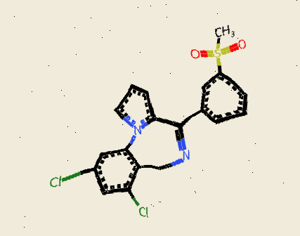 CS(=O)(=O)c1cccc(C2=NCc3c(Cl)cc(Cl)cc3-n3cccc32)c1